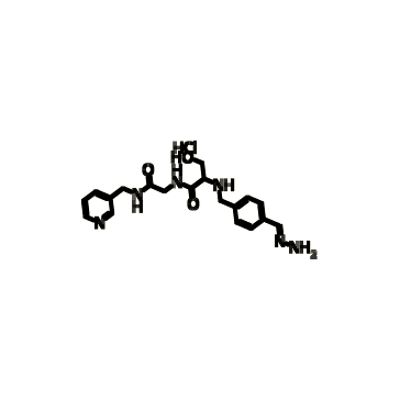 Cl.NN=Cc1ccc(CNC(CO)C(=O)NCC(=O)NCc2cccnc2)cc1